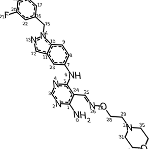 Nc1ncnc(Nc2ccc3c(cnn3Cc3cccc(F)c3)c2)c1/C=N/OCCN1CCOCC1